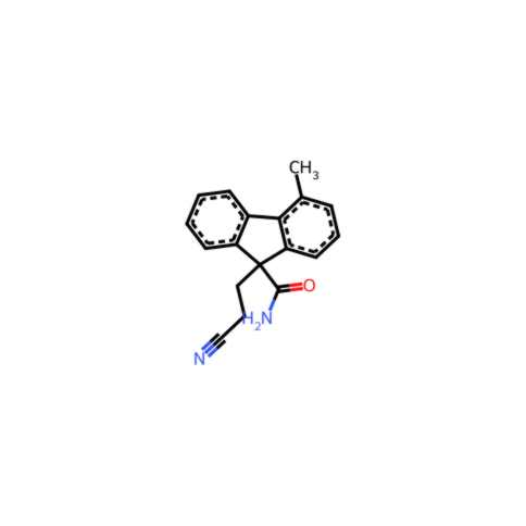 Cc1cccc2c1-c1ccccc1C2(CCC#N)C(N)=O